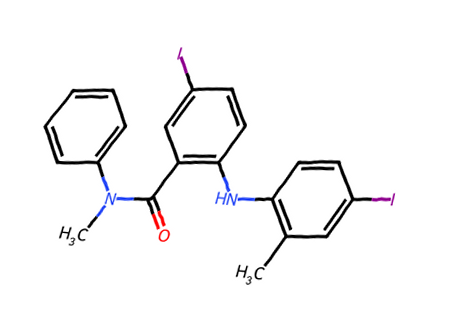 Cc1cc(I)ccc1Nc1ccc(I)cc1C(=O)N(C)c1ccccc1